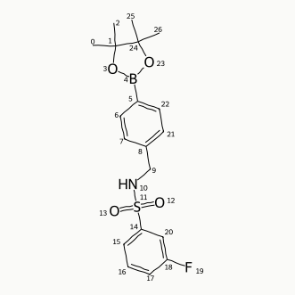 CC1(C)OB(c2ccc(CNS(=O)(=O)c3cccc(F)c3)cc2)OC1(C)C